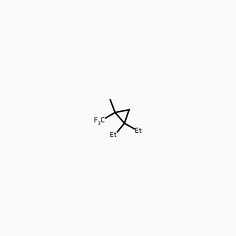 CCC1(CC)CC1(C)C(F)(F)F